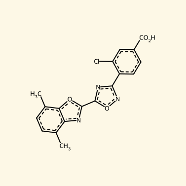 Cc1ccc(C)c2oc(-c3nc(-c4ccc(C(=O)O)cc4Cl)no3)nc12